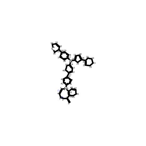 C=C1/C=C\C=C/N(c2ccc(C3=CC=C(N(C4=CC=C(C5=CCCCC5)C4)c4ccc(C5C=CCCC5)cc4)CC3)cc2)C2=C1CCC=C2